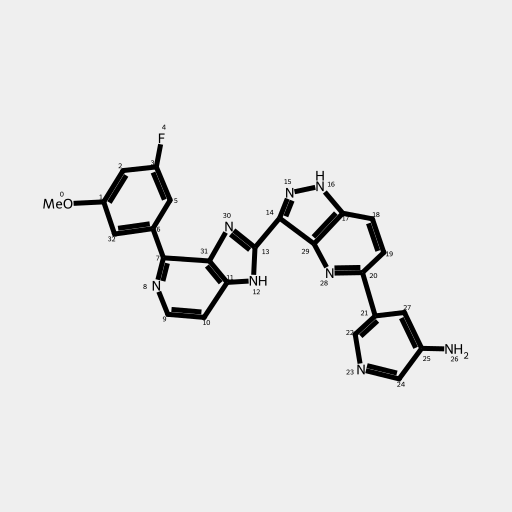 COc1cc(F)cc(-c2nccc3[nH]c(-c4n[nH]c5ccc(-c6cncc(N)c6)nc45)nc23)c1